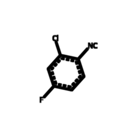 [C-]#[N+]c1ccc(F)cc1Cl